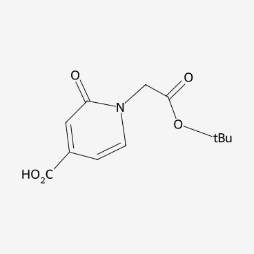 CC(C)(C)OC(=O)Cn1ccc(C(=O)O)cc1=O